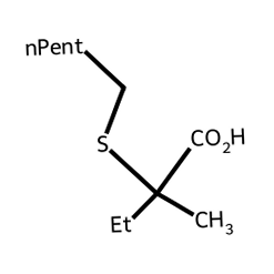 CCCCCCSC(C)(CC)C(=O)O